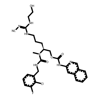 CN(C(=O)NCc1cccc(F)c1Cl)[C@@H](CCCN/C(=N\C#N)NCCO)COC(=O)Nc1cc2ccccc2cn1